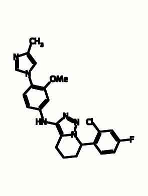 COc1cc(Nc2nnn3c2CCCC3c2ccc(F)cc2Cl)ccc1-n1cnc(C)c1